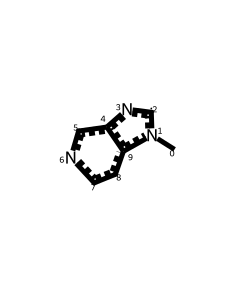 Cn1[c]nc2cnccc21